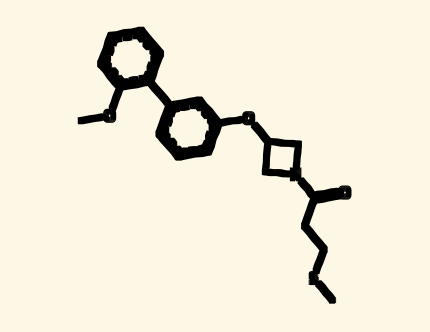 COc1ccccc1-c1cccc(OC2CN(C(=O)CCSC)C2)c1